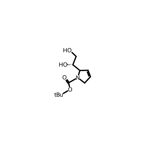 CC(C)(C)OC(=O)N1CC=CC1[C@H](O)CO